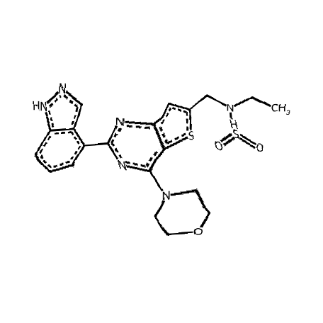 CCN(Cc1cc2nc(-c3cccc4[nH]ncc34)nc(N3CCOCC3)c2s1)[SH](=O)=O